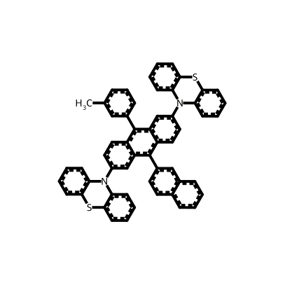 Cc1cccc(-c2c3ccc(N4c5ccccc5Sc5ccccc54)cc3c(-c3ccc4ccccc4c3)c3ccc(N4c5ccccc5Sc5ccccc54)cc23)c1